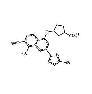 COc1ccc2c(OC3CCC(C(=O)O)C3)cc(-c3nc(C(C)C)cs3)nc2c1C